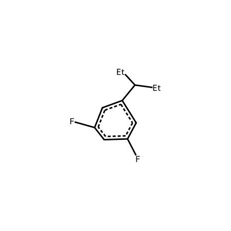 CCC(CC)c1cc(F)cc(F)c1